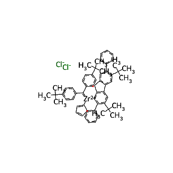 CC(C)(C)c1ccc([C](c2ccc(C(C)(C)C)cc2)=[Zr+2]([C]2=CC=CC2)[c]2c3c(cc(C(C)(C)C)c2-c2ccccc2)-c2cc(C(C)(C)C)c(-c4ccccc4)cc2C3)cc1.[Cl-].[Cl-]